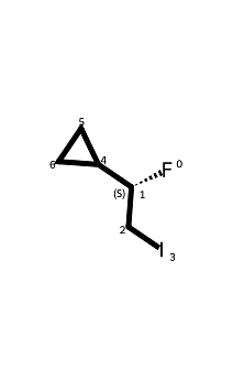 F[C@H](CI)C1CC1